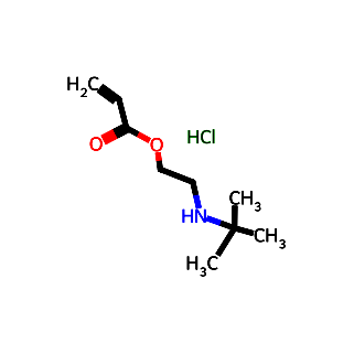 C=CC(=O)OCCNC(C)(C)C.Cl